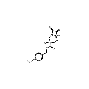 O=C1C(=O)N2CC(Cl)(C(=O)OCc3ccc([N+](=O)[O-])cc3)CS[C@H]12